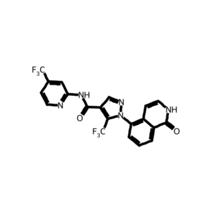 O=C(Nc1cc(C(F)(F)F)ccn1)c1cnn(-c2cccc3c(=O)[nH]ccc23)c1C(F)(F)F